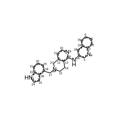 c1ccc2ncc(Nc3nccc4c3CCN(Cc3cccc5[nH]ccc35)C4)cc2c1